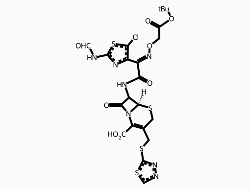 CC(C)(C)OC(=O)CO/N=C(/C(=O)NC1C(=O)N2C(C(=O)O)=C(CSc3nncs3)CS[C@H]12)c1nc(NC=O)sc1Cl